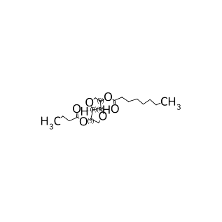 CCCCCCCC(=O)O[C@@H]1CO[C@H]2[C@@H]1OC[C@@H]2OC(=O)CCC